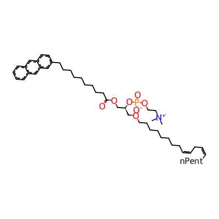 CCCCC/C=C\C/C=C\CCCCCCCCOC[C@@H](COC(=O)CCCCCCCCCc1ccc2cc3ccccc3cc2c1)OP(=O)([O-])OCC[N+](C)(C)C